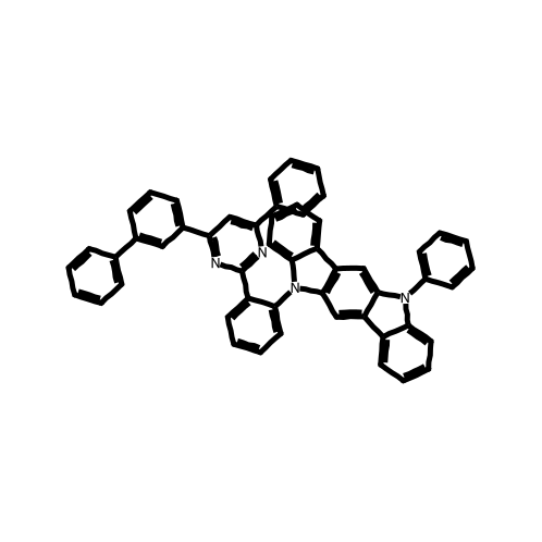 c1ccc(-c2cccc(-c3cc(-c4ccccc4)nc(-c4ccccc4-n4c5ccccc5c5cc6c(cc54)c4ccccc4n6-c4ccccc4)n3)c2)cc1